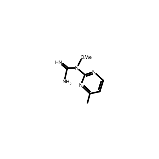 CON(C(=N)N)c1nccc(C)n1